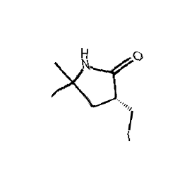 CC1(C)C[C@@H](CI)C(=O)N1